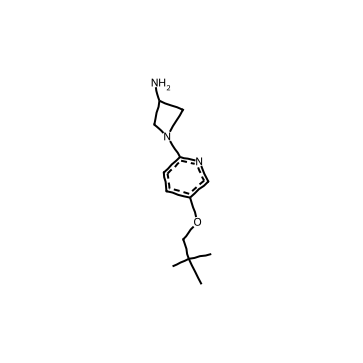 CC(C)(C)COc1ccc(N2CC(N)C2)nc1